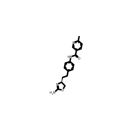 Cc1ccc(C(=O)Nc2ccc(CC[C@H]3COC(N)=N3)cc2)cn1